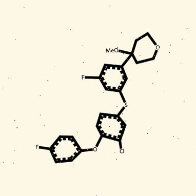 COC1(c2cc(F)cc(Sc3ccc(Oc4ccc(F)cc4)c(Cl)c3)c2)CCOCC1